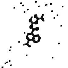 COC(OC(=O)c1ccc(C(C)C)c2ccccc12)OC(=O)C(C)C